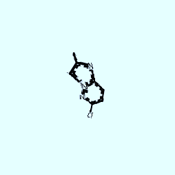 Cc1[c]n2nc(Cl)ccc2n1